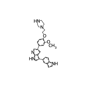 COc1cc(-c2cnc3[nH]cc(-c4ccc5[nH]ccc5c4)c3c2)ccc1OCCN1CCNCC1